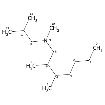 CCCCC(C)C(C)CN(C)CC(C)C